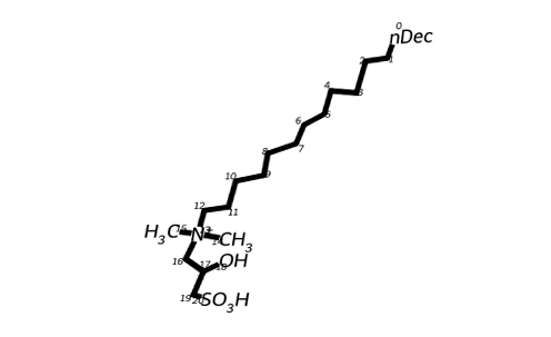 CCCCCCCCCCCCCCCCCCCCCC[N+](C)(C)CC(O)CS(=O)(=O)O